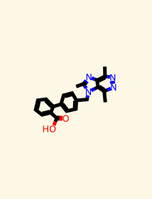 Cc1nnc(C)c2c1nc(C)n2Cc1ccc(-c2ccccc2C(=O)O)cc1